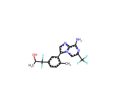 Cc1ccc(C(F)(F)C(C)O)cc1-c1cnc2c(N)nc(C(F)(F)F)cn12